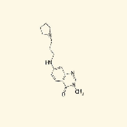 Cn1cnc2cc(NCCCN3CCCC3)ccc2c1=O